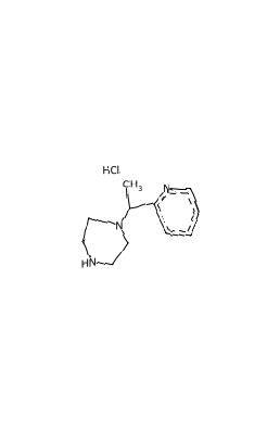 CC(c1ccccn1)N1CCNCC1.Cl